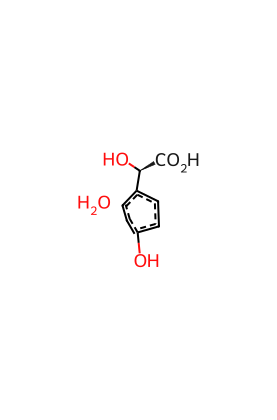 O.O=C(O)[C@H](O)c1ccc(O)cc1